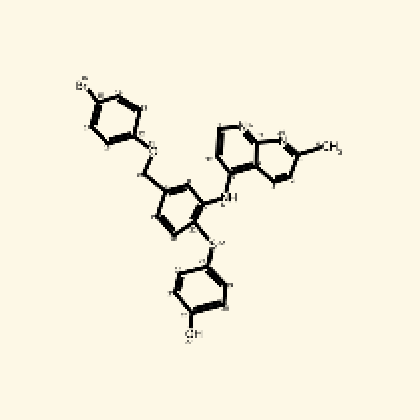 Cc1ccc2c(Nc3cc(COc4ccc(Br)cc4)ccc3Sc3ccc(O)cc3)ccnc2n1